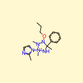 CCCON1N(C)[N+](C)(n2ccnc2C)NC1(C)c1ccccc1